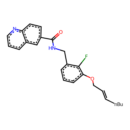 CCCC/C=C/COc1cccc(CNC(=O)c2ccc3ncccc3c2)c1F